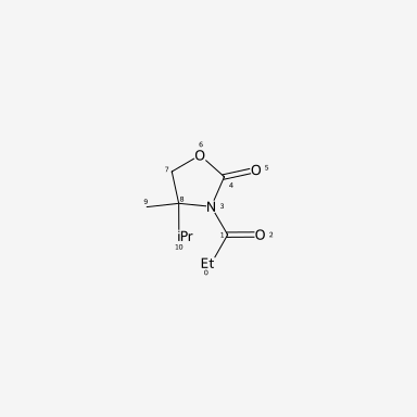 CCC(=O)N1C(=O)OCC1(C)C(C)C